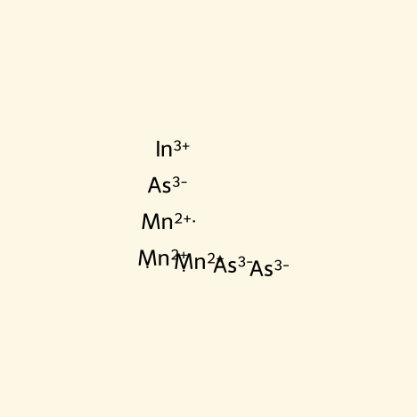 [As-3].[As-3].[As-3].[In+3].[Mn+2].[Mn+2].[Mn+2]